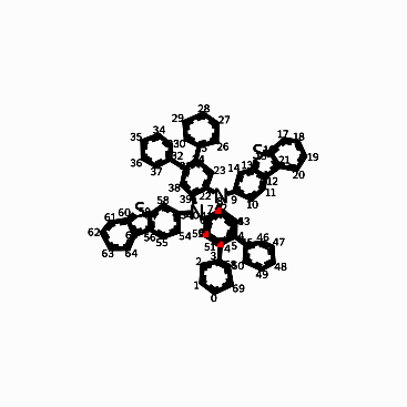 c1ccc(-c2ccc(N(c3ccc4c(c3)sc3ccccc34)c3cc(-c4ccccc4)c(-c4ccccc4)cc3N(c3ccc(-c4ccccc4)cc3)c3ccc4c(c3)sc3ccccc34)cc2)cc1